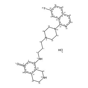 Cl.O=c1cc(NCCCN2CCN(c3nccc4ccc(F)cc34)CC2)c2c(o1)CCNC2